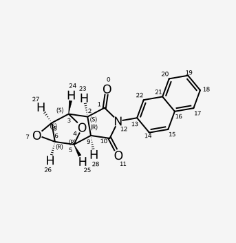 O=C1[C@@H]2[C@@H]3O[C@@H]([C@H]4O[C@H]43)[C@@H]2C(=O)N1c1ccc2ccccc2c1